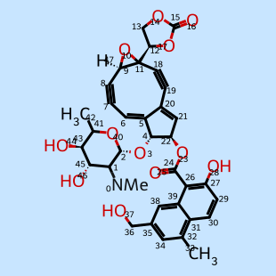 CNC1[C@@H](O[C@@H]2/C3=C/C#C[C@H]4OC4([C@H]4COC(=O)O4)C#CC3=C[C@H]2OC(=O)c2c(O)ccc3c(C)cc(CO)cc23)OC(C)[C@H](O)[C@H]1O